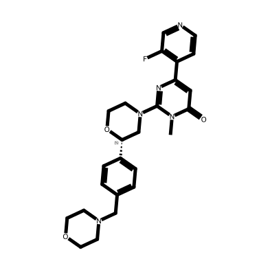 Cn1c(N2CCO[C@@H](c3ccc(CN4CCOCC4)cc3)C2)nc(-c2ccncc2F)cc1=O